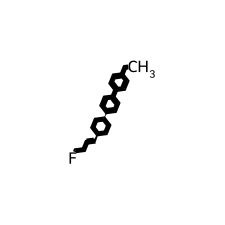 CCc1ccc(-c2ccc([C@H]3CC[C@H](C=CCCF)CC3)cc2)cc1